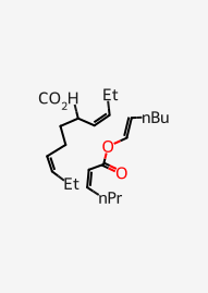 CC/C=C\CCC(/C=C\CC)C(=O)O.CCC/C=C\C(=O)OC=CCCCC